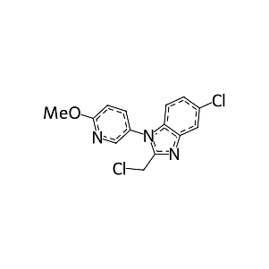 COc1ccc(-n2c(CCl)nc3cc(Cl)ccc32)cn1